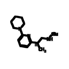 C[C@H](CNC(C)(C)C)c1cccc(N2CCCCC2)n1